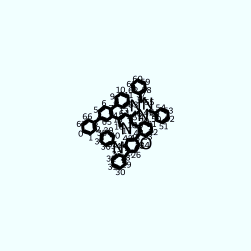 c1ccc(-c2ccc(-c3ccccc3)c(-c3cnc(-c4cccc5oc6cc7c8ccccc8n(-c8ccccc8)c7cc6c45)c(-c4nc(-c5ccccc5)nc(-c5ccccc5)n4)c3)c2)cc1